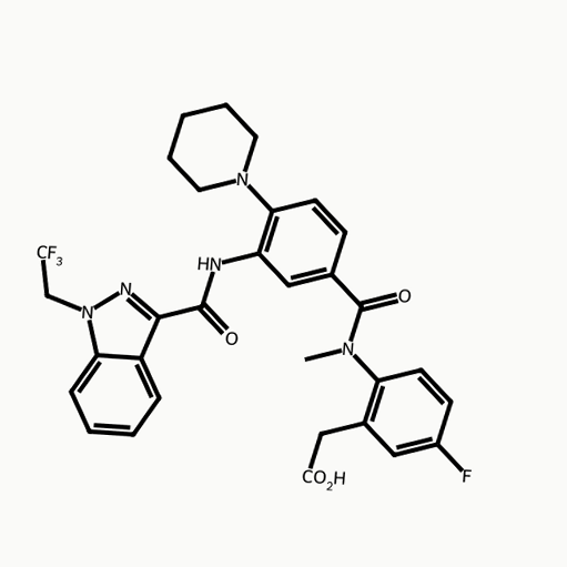 CN(C(=O)c1ccc(N2CCCCC2)c(NC(=O)c2nn(CC(F)(F)F)c3ccccc23)c1)c1ccc(F)cc1CC(=O)O